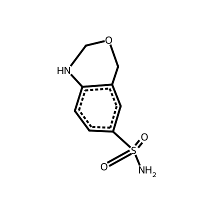 NS(=O)(=O)c1ccc2c(c1)COCN2